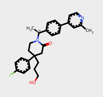 Cc1cc(-c2ccc([C@H](C)N3CCC(CCCO)(c4ccc(F)cc4)CC3=O)cc2)ccn1